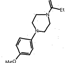 C=C(CC)N1CCN(c2ccc(OC)cc2)CC1